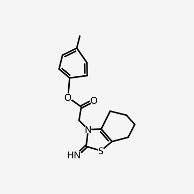 Cc1ccc(OC(=O)Cn2c3c(sc2=N)CCCC3)cc1